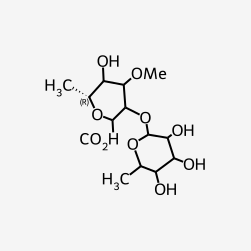 COC1C(OC2OC(C)C(O)C(O)C2O)C(C(=O)O)O[C@H](C)C1O